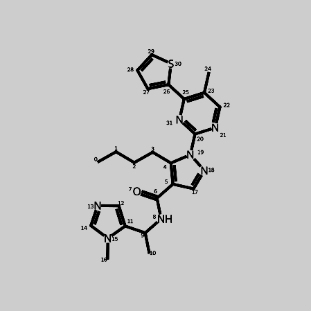 CCCCc1c(C(=O)NC(C)c2cncn2C)cnn1-c1ncc(C)c(-c2cccs2)n1